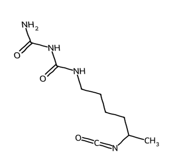 CC(CCCCNC(=O)NC(N)=O)N=C=O